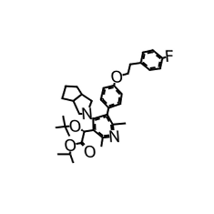 Cc1nc(C)c([C@H](OC(C)(C)C)C(=O)OC(C)C)c(N2CC3CCCC3C2)c1-c1ccc(OCCc2ccc(F)cc2)cc1